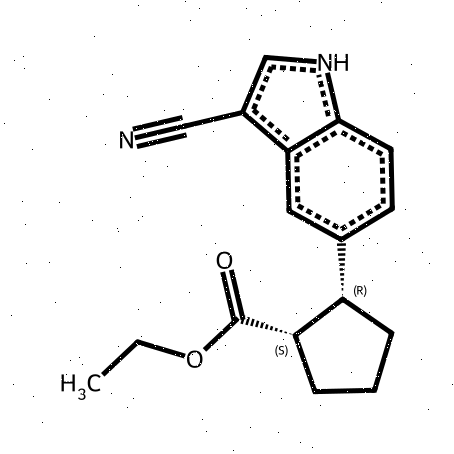 CCOC(=O)[C@H]1CCC[C@H]1c1ccc2[nH]cc(C#N)c2c1